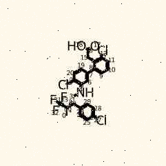 C[C@H]([C@H](CNc1cc(-c2cccc(Cl)c2CC(=O)O)ccc1Cl)c1ccc(Cl)cc1)C(F)(F)F